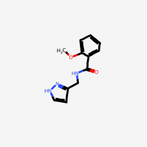 COc1ccccc1C(=O)NCc1cc[nH]n1